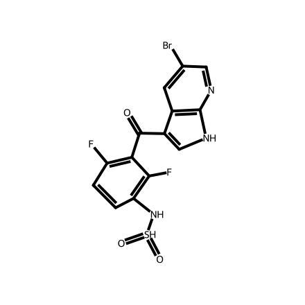 O=C(c1c(F)ccc(N[SH](=O)=O)c1F)c1c[nH]c2ncc(Br)cc12